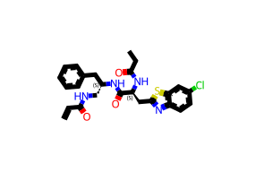 C=CC(=O)NC[C@H](Cc1ccccc1)NC(=O)[C@H](Cc1nc2ccc(Cl)cc2s1)NC(=O)CC